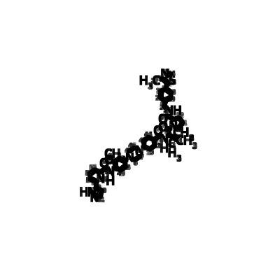 COc1cc(N2CCN(C3CCC(C(=O)NC(C(=O)N4CCCC4C(=O)NCc4ccc(-c5scnc5C)cc4)C(C)(C)C)CC3)CC2)ccc1NC(=O)c1cccc(-c2ccn[nH]2)n1